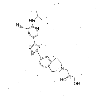 CC(C)Nc1ncc(-c2nc(-c3ccc4c(c3)CCN(C[C@H](O)CO)CC4)no2)cc1C#N